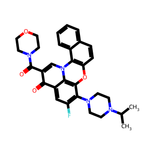 CC(C)N1CCN(c2c(F)cc3c(=O)c(C(=O)N4CCOCC4)cn4c3c2Oc2ccc3ccccc3c2-4)CC1